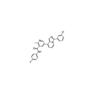 Cc1ncc(-c2cccn3c(-c4cccc(Cl)c4)ncc23)cc1C(=O)Nc1ccc(F)cc1